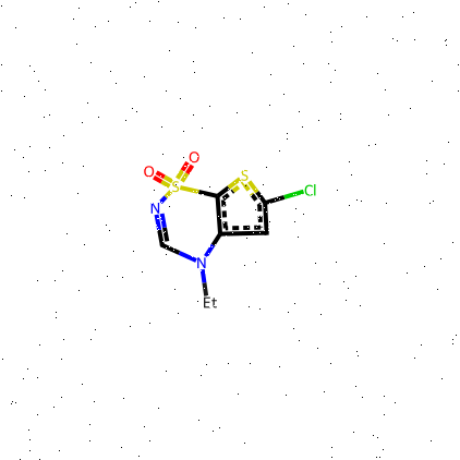 CCN1C=NS(=O)(=O)c2sc(Cl)cc21